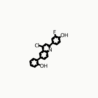 Oc1ccc(-c2cc(Cl)c3cc(-c4ccccc4O)ccc3n2)cc1F